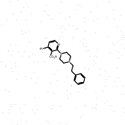 CC(C)c1ccnc(N2CCN(CCc3ccccc3)CC2)c1C(=O)O